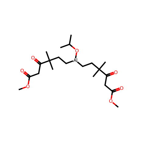 COC(=O)CC(=O)C(C)(C)C[CH2][Al]([CH2]CC(C)(C)C(=O)CC(=O)OC)[O]C(C)C